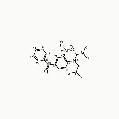 CC(C)CN(CC(C)C)c1ccc(C(=O)c2ccccc2)cc1[N+](=O)[O-]